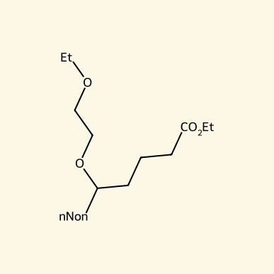 CCCCCCCCCC(CCCC(=O)OCC)OCCOCC